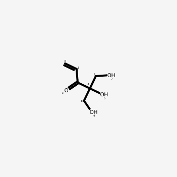 C=CC(=O)C(O)(CO)CO